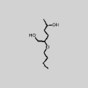 CCCCOC(CO)CCC(C)O